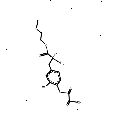 CSCCOC(=O)[C@@](C)(N)Cc1ccc(OC(=O)C(=O)O)c(O)c1